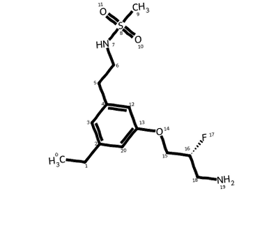 CCc1cc(CCNS(C)(=O)=O)cc(OC[C@H](F)CN)c1